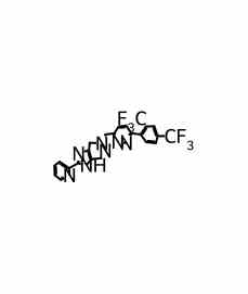 FC(F)(F)c1ccc(-c2ccc(CN3Cc4nc(-c5ccccn5)[nH]c4C=N3)nn2)c(C(F)(F)F)c1